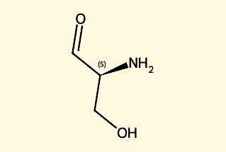 N[C@H](C=O)CO